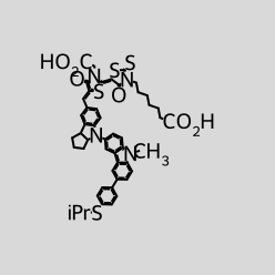 CC(C)Sc1ccc(-c2ccc3c(c2)c2cc(N4c5ccc(/C=c6\s/c(=C7/SC(=S)N(CCCCCCC(=O)O)C7=O)n(CC(=O)O)c6=O)cc5C5CCCC54)ccc2n3C)cc1